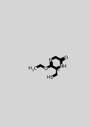 CCOC1=NCC(=O)N[C@H]1CS